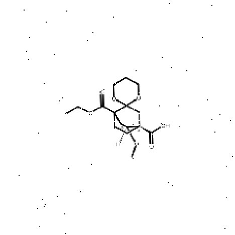 CCOC(=O)C12CC[C@@](C(=O)O)(CC13OCCCO3)[C@@H](OC)C2